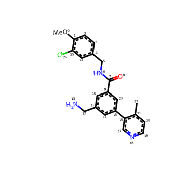 COc1ccc(CNC(=O)c2cc(CN)cc(-c3cnccc3C)c2)cc1Cl